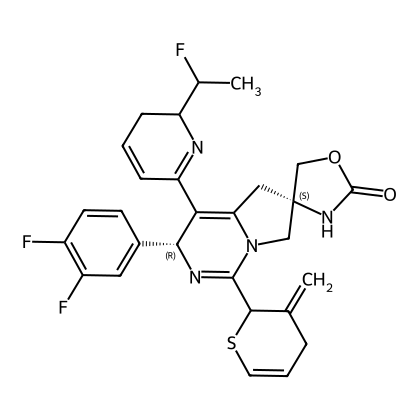 C=C1CC=CSC1C1=N[C@H](c2ccc(F)c(F)c2)C(C2=NC(C(C)F)CC=C2)=C2C[C@@]3(COC(=O)N3)CN12